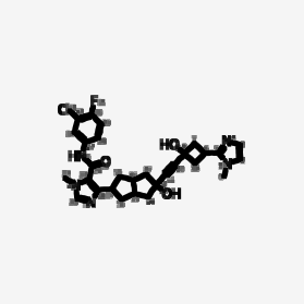 Cn1ccnc1C1CC(O)(C#CC2(O)CC3CC(c4ncn(C)c4C(=O)Nc4ccc(F)c(Cl)c4)CC3C2)C1